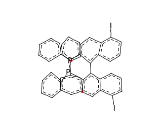 Ic1cccc2c(-c3c(P(c4ccccc4)c4ccccc4)ccc4c(I)cccc34)c(P(c3ccccc3)c3ccccc3)ccc12